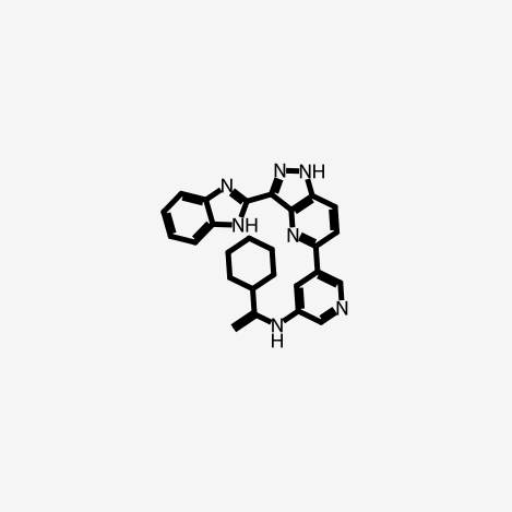 C=C(Nc1cncc(-c2ccc3[nH]nc(-c4nc5ccccc5[nH]4)c3n2)c1)C1CCCCC1